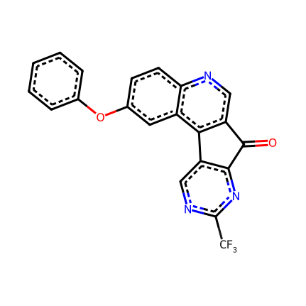 O=C1c2cnc3ccc(Oc4ccccc4)cc3c2-c2cnc(C(F)(F)F)nc21